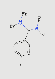 CCN(CC)C(c1ccc(C)cc1)N(CC)CC